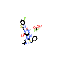 CC(C)=CCn1c(SC2(CN)CCCCC2)nc2c1c(=O)n(Cc1nc3cc(F)ccc3s1)c(=O)n2C.O=C(O)C(F)(F)F